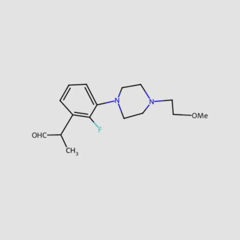 COCCN1CCN(c2cccc(C(C)C=O)c2F)CC1